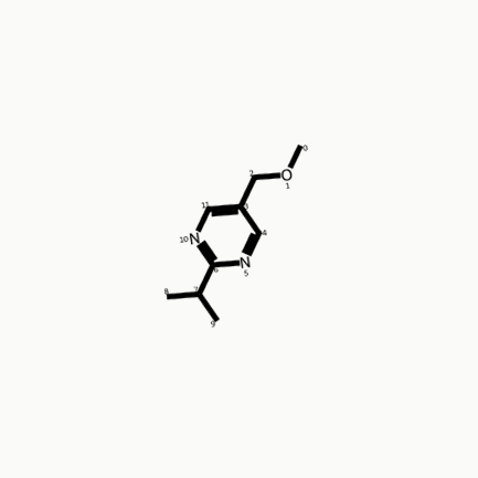 COCc1cnc(C(C)C)nc1